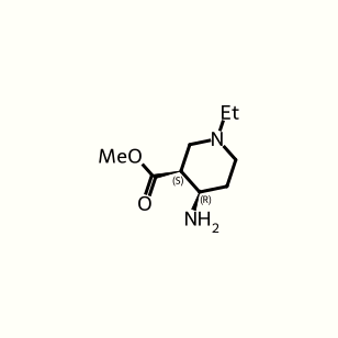 CCN1CC[C@@H](N)[C@@H](C(=O)OC)C1